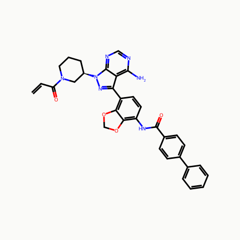 C=CC(=O)N1CCC[C@@H](n2nc(-c3ccc(NC(=O)c4ccc(-c5ccccc5)cc4)c4c3OCO4)c3c(N)ncnc32)C1